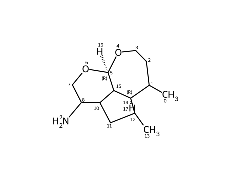 CC1CCO[C@@H]2OCC(N)C3CC(C)[C@H]1C32